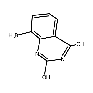 Bc1cccc2c(O)nc(O)nc12